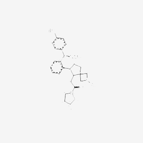 CN[C@H](c1ccc(C(C)C)cc1)c1ccccc1C1CCC2(CN(C(C)=O)C2)C1CC(=O)N1CC[C@@H](F)C1